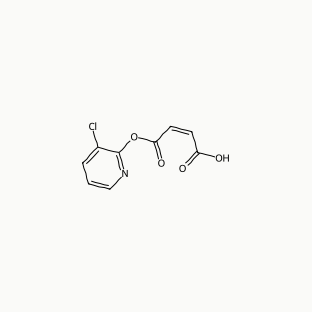 O=C(O)/C=C\C(=O)Oc1ncccc1Cl